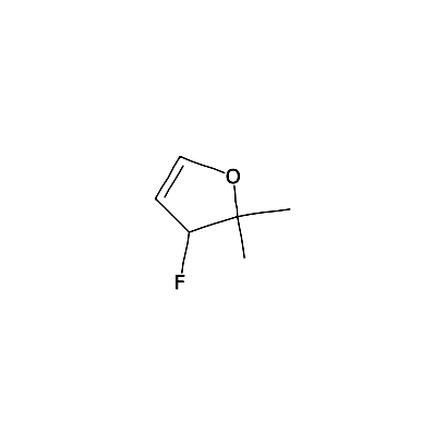 CC1(C)OC=CC1F